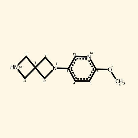 COc1ccc(N2CC3(CNC3)C2)cn1